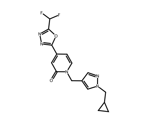 O=c1cc(-c2nnc(C(F)F)o2)ccn1Cc1cnn(CC2CC2)c1